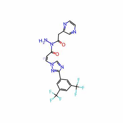 NN(C(=O)/C=C\n1cnc(-c2cc(C(F)(F)F)cc(C(F)(F)F)c2)n1)C(=O)Cc1cnccn1